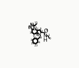 CCNC(=O)c1cc2c(ccc3nnc(C)n32)n1Cc1ccccc1